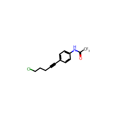 O=C(Nc1ccc(C#CCCCCl)cc1)C(F)(F)F